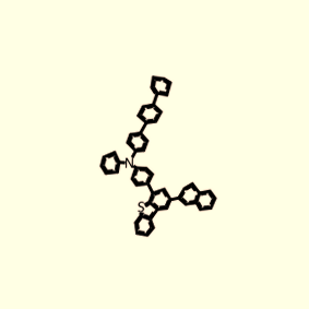 c1ccc(-c2ccc(-c3ccc(N(c4ccccc4)c4ccc(-c5cc(-c6ccc7ccccc7c6)cc6c5sc5ccccc56)cc4)cc3)cc2)cc1